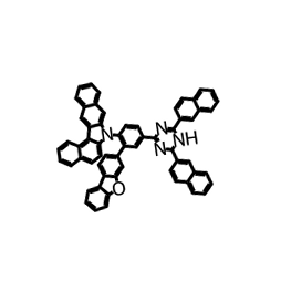 c1ccc2cc(C3=NC(c4ccc(-n5c6cc7ccccc7cc6c6c7ccccc7ccc65)c(-c5ccc6c(c5)oc5ccccc56)c4)=NC(c4ccc5ccccc5c4)N3)ccc2c1